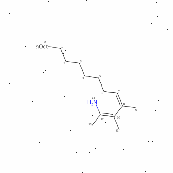 CCCCCCCCCCCCCCC=C(C)C(C)=C(C)N